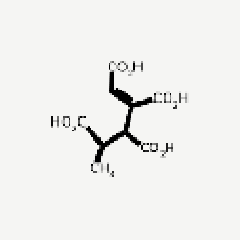 CC(C(=O)O)C(C(=O)O)C(=CC(=O)O)C(=O)O